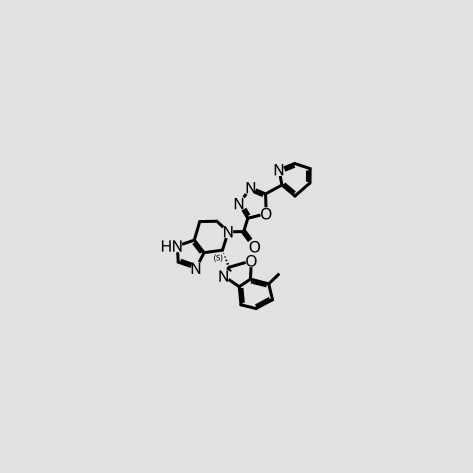 Cc1cccc2nc([C@@H]3c4nc[nH]c4CCN3C(=O)c3nnc(-c4ccccn4)o3)oc12